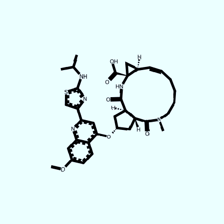 COc1ccc2c(O[C@@H]3C[C@H]4C(=O)N[C@]5(C(=O)O)C[C@H]5/C=C\CCCCN(C)C(=O)[C@@H]4C3)cc(-c3csc(NC(C)C)n3)nc2c1